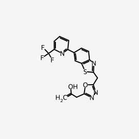 C=C(O)Cc1nnc(Cc2nc3ccc(-c4cccc(C(F)(F)F)n4)cc3s2)o1